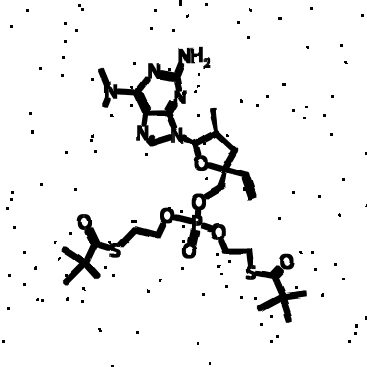 C=C[C@@]1(COP(=O)(OCCSC(=O)C(C)(C)C)OCCSC(=O)C(C)(C)C)C[C@H](C)[C@H](n2cnc3c(N(C)C)nc(N)nc32)O1